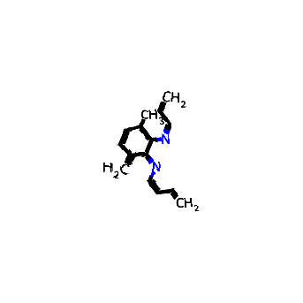 C=C/C=C\N=C1/C(=C)C=CC(C)=C1/N=C\C=C